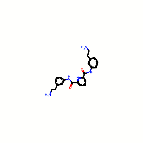 NCCc1cccc(NC(=O)c2cccc(C(=O)Nc3cccc(CCN)c3)n2)c1